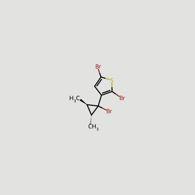 C[C@@H]1[C@@H](C)C1(Br)c1cc(Br)sc1Br